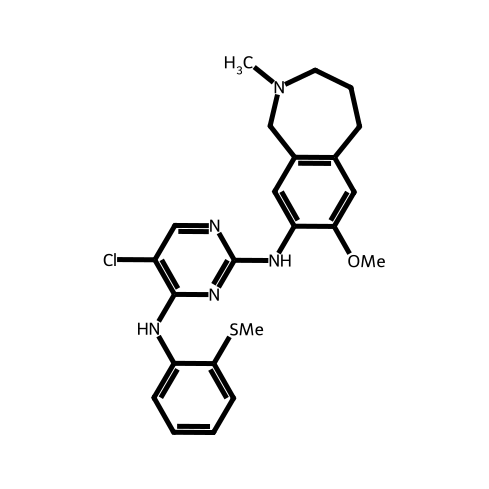 COc1cc2c(cc1Nc1ncc(Cl)c(Nc3ccccc3SC)n1)CN(C)CCC2